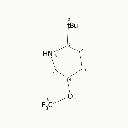 CC(C)(C)C1CCC(OC(F)(F)F)CN1